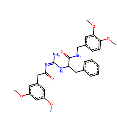 COc1cc(CC(=O)N=C(N)NC(Cc2ccccc2)C(=O)NCc2ccc(OC)c(OC)c2)cc(OC)c1